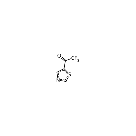 O=C(c1cncs1)C(F)(F)F